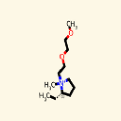 CC[C@H]1CCC[N+]1(C)CCOCCOC